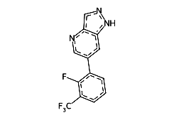 Fc1c(-c2cnc3cn[nH]c3c2)cccc1C(F)(F)F